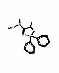 CON(C)C(=O)C(C)O[Si](c1ccccc1)(c1ccccc1)C(C)(C)C